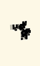 CC1CC(=O)CN(c2ccc(C#N)c3ncccc23)C1